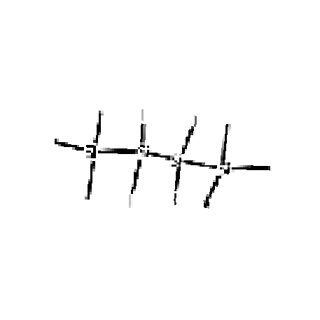 C[Si](C)(C)[Si](I)(I)[Si](I)(I)[Si](C)(C)C